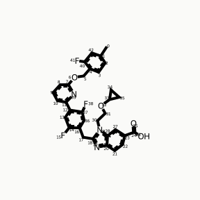 Cc1ccc(COc2cccc(-c3cc(F)c(Cc4nc5ccc(C(=O)O)cc5n4CCOC4CC4)cc3F)n2)c(F)c1